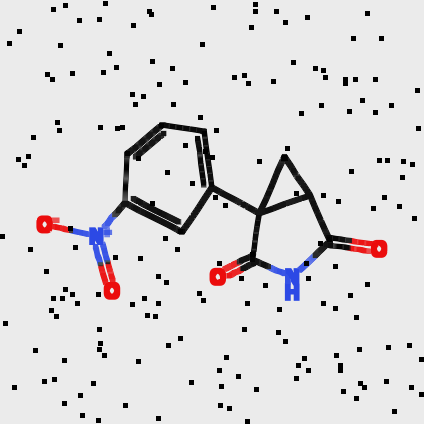 O=C1NC(=O)C2(c3cccc([N+](=O)[O-])c3)CC12